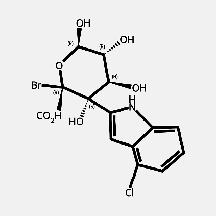 O=C(O)[C@@]1(Br)O[C@@H](O)[C@H](O)[C@@H](O)[C@@]1(O)c1cc2c(Cl)cccc2[nH]1